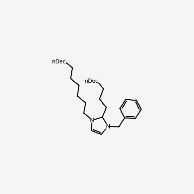 CCCCCCCCCCCCCCCCN1C=CN(Cc2ccccc2)C1CCCCCCCCCCCCC